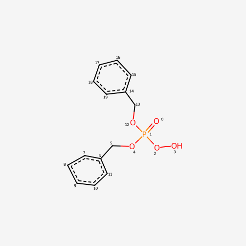 O=P(OO)(OCc1ccccc1)OCc1ccccc1